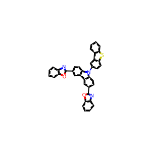 c1ccc2oc(-c3ccc4c(c3)c3cc(-c5nc6ccccc6o5)ccc3n4-c3ccc4sc5ccccc5c4c3)nc2c1